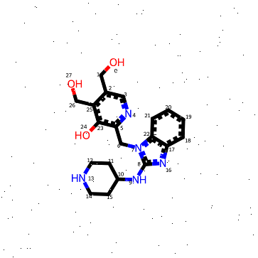 OCc1cnc(Cn2c(NC3CCNCC3)nc3ccccc32)c(O)c1CO